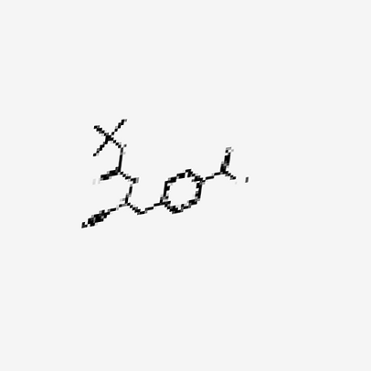 CC(C)(C)OC(=O)N[C@H](C#N)Cc1ccc(C(=O)O)cc1